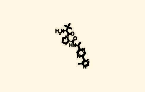 Cc1ncsc1-c1cnc(C(C)NC(=O)[C@@H]2CCCN2C(=O)[C@@H](N)C(C)(C)C)cn1